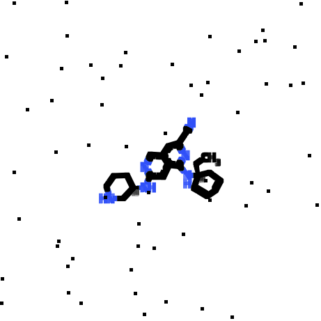 CC[C@]1(Nc2nc(C#N)cc3cnc(N[C@H]4CCCNC4)cc23)C=CC=CC1